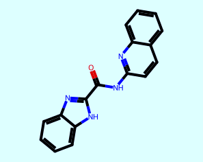 O=C(Nc1ccc2ccccc2n1)c1nc2ccccc2[nH]1